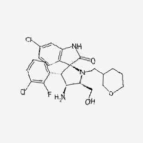 N[C@@H]1[C@H](CO)N(CC2CCCOC2)[C@@]2(C(=O)Nc3cc(Cl)ccc32)[C@H]1c1cccc(Cl)c1F